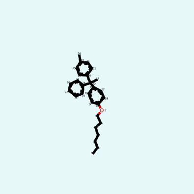 CCCCCCCOc1ccc(C(C)(c2ccccc2)c2ccc(C)cc2)cc1